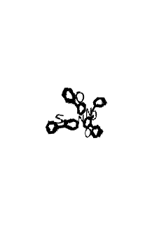 c1ccc(-c2nc3c(N(c4ccc5c(c4)sc4ccccc45)c4ccc5oc6ccccc6c5c4)cc4oc5ccccc5c4c3o2)cc1